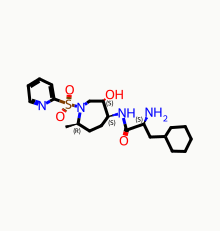 C[C@@H]1CC[C@H](NC(=O)[C@@H](N)CC2CCCCC2)[C@@H](O)CN1S(=O)(=O)c1ccccn1